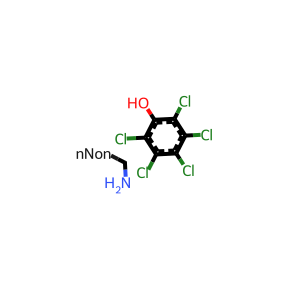 CCCCCCCCCCN.Oc1c(Cl)c(Cl)c(Cl)c(Cl)c1Cl